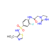 N=C1NCCN1CC(=O)Nc1ccc(S(=O)(=O)Nc2scnc2C(=O)O)cc1F